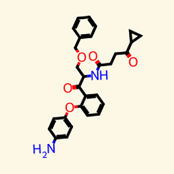 Nc1ccc(Oc2ccccc2C(=O)C(COCc2ccccc2)NC(=O)CCC(=O)C2CC2)cc1